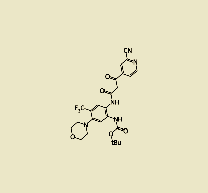 CC(C)(C)OC(=O)Nc1cc(N2CCOCC2)c(C(F)(F)F)cc1NC(=O)CC(=O)c1ccnc(C#N)c1